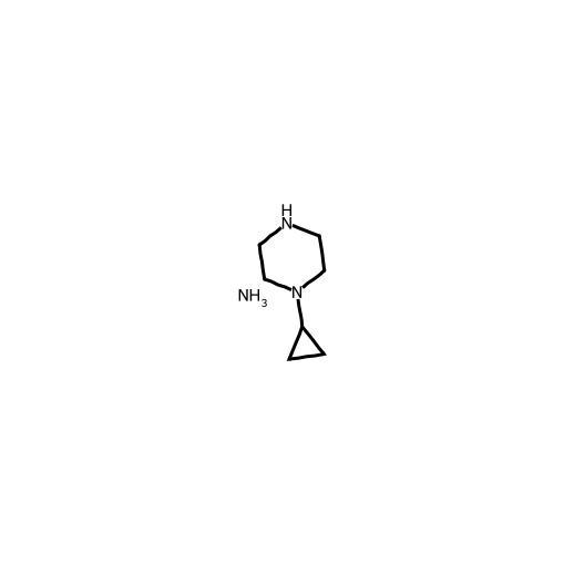 C1CN(C2CC2)CCN1.N